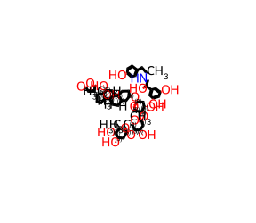 CC(Cc1ccc(O)cc1)NCC(O)c1cc(O)cc(O)c1.C[C@H]1O[C@@H](O[C@H]2[C@@H](O)C[C@H](O[C@H]3[C@@H](O)C[C@H](O[C@H]4CC[C@@]5(C)[C@H](CC[C@@H]6[C@@H]5C[C@@H](O)[C@]5(C)[C@@H](C7=CC(=O)OC7)CC[C@]65O)C4)O[C@@H]3C)O[C@@H]2C)C[C@H](O)[C@@H]1O